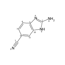 N#Cc1ccc2nc(N)[nH]c2c1